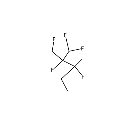 CCC(C)(F)C(F)(CF)C(F)F